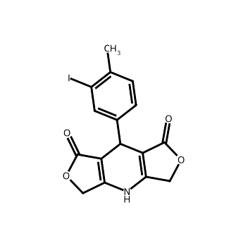 Cc1ccc(C2C3=C(COC3=O)NC3=C2C(=O)OC3)cc1I